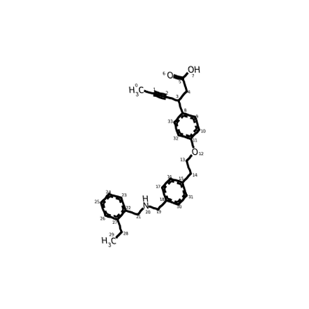 CC#CC(CC(=O)O)c1ccc(OCCc2ccc(CNCc3ccccc3CC)cc2)cc1